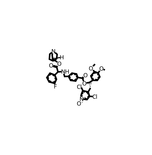 COc1ccc([C@H](Cc2c(Cl)c[n+]([O-])cc2Cl)OC(=O)c2ccc(CNC(C(=O)O[C@H]3CN4CCC3CC4)c3cccc(F)c3)cc2)cc1OC